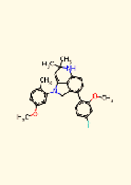 COc1ccc(C)c(N2Cc3c(-c4ccc(F)cc4OC)ccc4c3C2=CC(C)(C)N4)c1